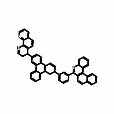 C1=CC(c2cccc(-c3nc4ccccc4c4c3ccc3ccccc34)c2)Cc2c1c1ccc(C3CC=Nc4c3ccc3cccnc43)cc1c1ccccc21